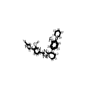 COc1nc(-c2nc3n(n2)CCC[C@H]3c2ccc(N3CCCCC3)c(F)c2)ccc1-n1cnc(C)c1